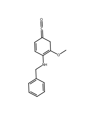 COC1=C(NCc2ccccc2)C=CC(=C=O)C1